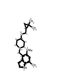 COc1cc(C)c2[nH]ccc2c1CN1CCC(OCC2CC2(C)C)CC1